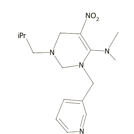 CC(C)CN1CC([N+](=O)[O-])=C(N(C)C)N(Cc2cccnc2)C1